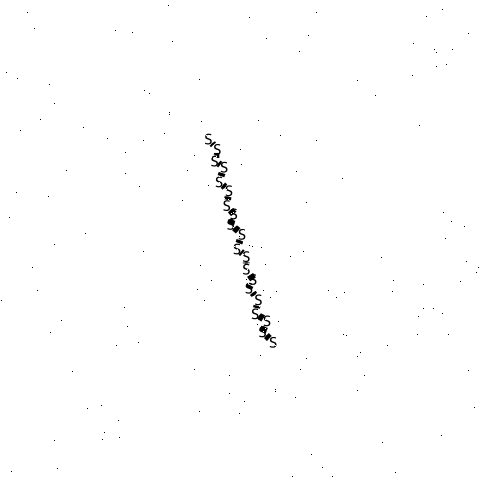 S=S=S=S=S=S=S=S=S=S=S=S=S=S=S=S=S=S=S=S